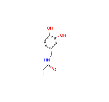 C=CC(=O)NCc1ccc(O)c(O)c1